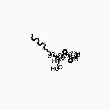 [2H]C([2H])([2H])C(=O)Oc1ccccc1C(=O)Oc1ccccc1C(=O)O[C@@H](C(=O)NCCC(=O)O)C(C)(C)COC(=O)CCC/C=C\C/C=C\C/C=C\C/C=C\C/C=C\CC